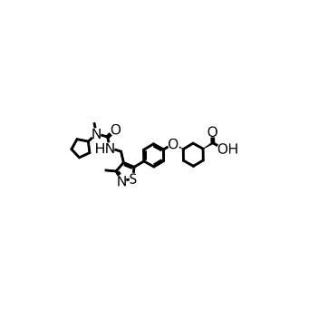 Cc1nsc(-c2ccc(O[C@H]3CCC[C@H](C(=O)O)C3)cc2)c1CNC(=O)N(C)C1CCCC1